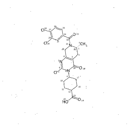 C[C@@H]1Cc2c(nc(Cl)n(C3CCC(C(=O)O)CC3)c2=O)CN1C(=O)c1ccc(Cl)c(Cl)c1